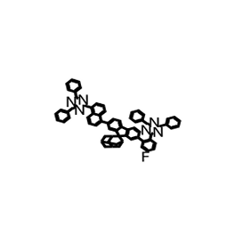 Fc1ccc(-c2nc(-c3ccccc3)nc(-c3ccccc3)n2)c(-c2ccc3c(c2)C2(c4cc(-c5cccc6c(-c7nc(-c8ccccc8)nc(-c8ccccc8)n7)cccc56)ccc4-3)C3CC4CC(C3)CC2C4)c1